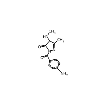 CNC1C(=O)N(C(=O)c2ccc(N)cc2)N=C1C